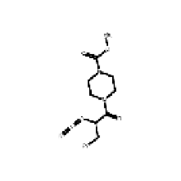 CC(C)C[C@@H](N=[N+]=[N-])C(=O)N1CCN(C(=O)OC(C)(C)C)CC1